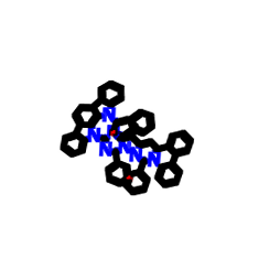 c1ccc(-c2nc(-c3ccc(-n4c5ccccc5c5ccc6c7ccccc7n(-c7nc(-c8ccccc8)nc(-c8ccccc8)n7)c6c54)cc3)cc(-c3ccccc3-c3ccccc3)n2)cc1